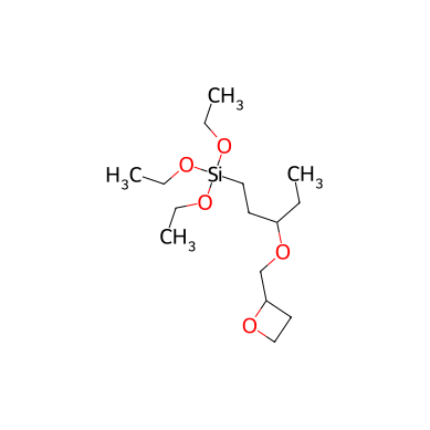 CCO[Si](CCC(CC)OCC1CCO1)(OCC)OCC